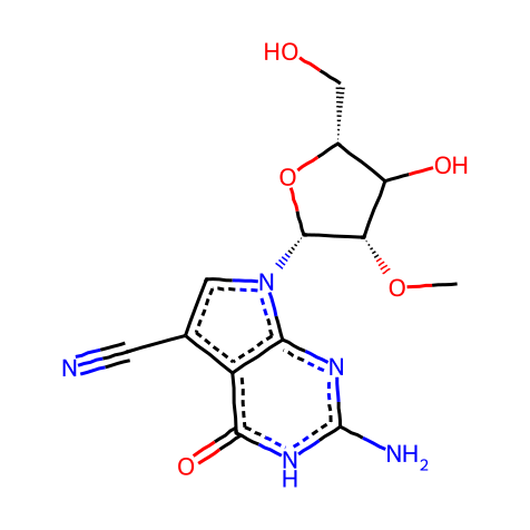 CO[C@H]1C(O)[C@@H](CO)O[C@H]1n1cc(C#N)c2c(=O)[nH]c(N)nc21